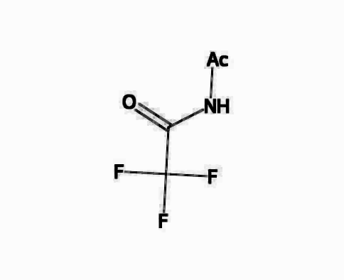 [CH2]C(=O)NC(=O)C(F)(F)F